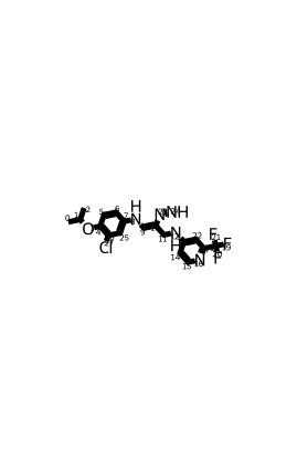 CC(C)Oc1ccc(N/C=C(/CNc2ccnc(C(F)(F)F)c2)N=N)cc1Cl